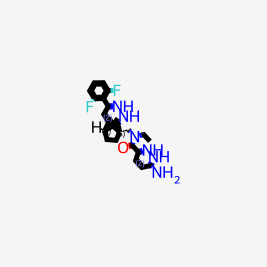 CCN(C[C@@]12CC[C@@H](/C(=C/C(=N)c3c(F)cccc3F)C1=N)C2(C)C)C(=O)C(=N)/C=C\C(=N)N